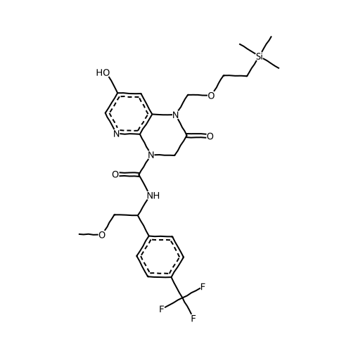 COCC(NC(=O)N1CC(=O)N(COCC[Si](C)(C)C)c2cc(O)cnc21)c1ccc(C(F)(F)F)cc1